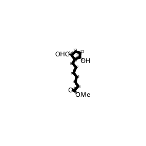 COC(=O)CCCCCCC1C(O)CC[C@@H]1C=O